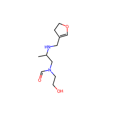 CC(CN(C=O)CCO)NCC1=COCC1